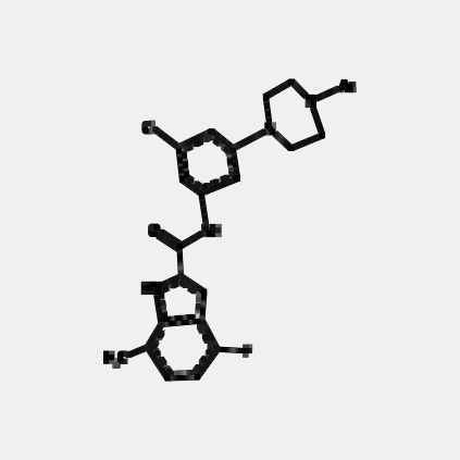 CC(=O)N1CCN(c2cc(Cl)cc(NC(=O)c3cc4c(F)ccc(C)c4[nH]3)c2)CC1